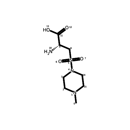 CN1CCN(S(=O)(=O)C[C@H](N)C(=O)O)CC1